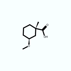 CO[C@H]1CCC[C@](C)(C(=O)O)C1